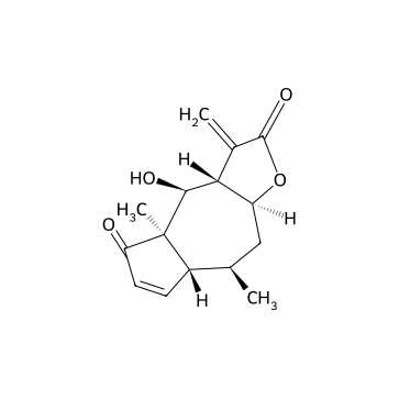 C=C1C(=O)O[C@H]2C[C@@H](C)[C@@H]3C=CC(=O)[C@@]3(C)[C@@H](O)[C@H]12